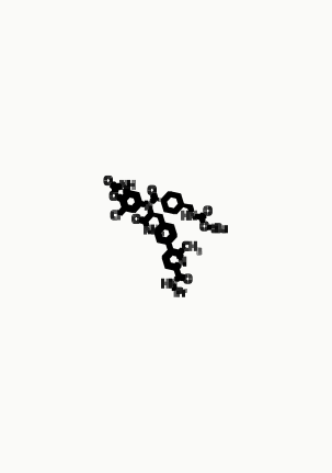 Cc1nc(C(=O)NC(C)C)ccc1-c1ccc(C[C@@H](C(N)=O)N(c2cc(Cl)c3oc(=O)[nH]c3c2)C(=O)[C@H]2CC[C@H](CNC(=O)OC(C)(C)C)CC2)cc1